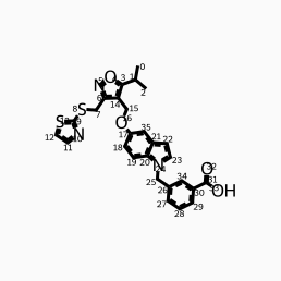 CC(C)c1onc(CSc2nccs2)c1COc1ccc2c(ccn2Cc2cccc(C(=O)O)c2)c1